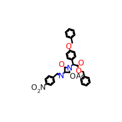 CC(=O)OC1C(N=Cc2ccc([N+](=O)[O-])cc2)C(=O)N1C(C(=O)OCc1ccccc1)c1ccc(OCc2ccccc2)cc1